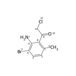 Cc1ccc(Br)c(N)c1C(=O)CCl